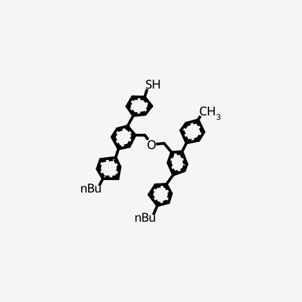 CCCCc1ccc(-c2ccc(-c3ccc(C)cc3)c(COCc3cc(-c4ccc(CCCC)cc4)ccc3-c3ccc(S)cc3)c2)cc1